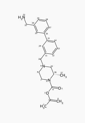 C=C(C)OC(=O)N1CCN(Cc2cccc(-c3cccc(CN)c3)c2)C[C@@H]1C